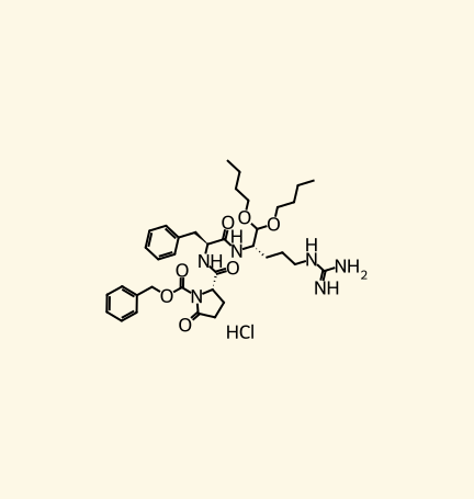 CCCCOC(OCCCC)[C@H](CCCNC(=N)N)NC(=O)[C@H](Cc1ccccc1)NC(=O)[C@@H]1CCC(=O)N1C(=O)OCc1ccccc1.Cl